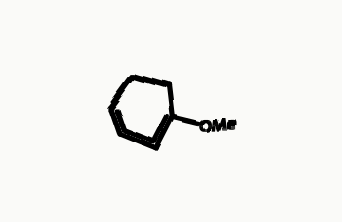 COC1=C=C=CCC1